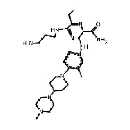 CCC1=NC(C(N)=O)C(Nc2ccc(N3CCC(N4CCN(C)CC4)CC3)c(C)c2)N=C1NCCCN